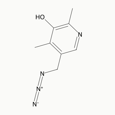 Cc1ncc(CN=[N+]=[N-])c(C)c1O